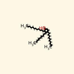 CCCCCCCCCCCCc1c(O)ccc(CCCCCCCCCC)c1CCCCCCCCCC